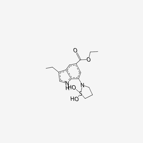 CCOC(=O)c1cc(N2CCCS2(O)O)c2[nH]cc(CC)c2c1